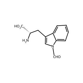 N[C@@H](Cc1cn(C=O)c2ccccc12)C(=O)O